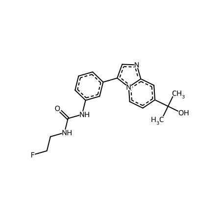 CC(C)(O)c1ccn2c(-c3cccc(NC(=O)NCCF)c3)cnc2c1